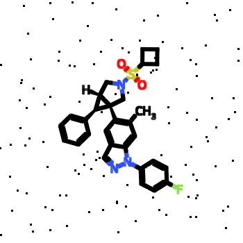 Cc1cc2c(cnn2-c2ccc(F)cc2)cc1[C@]12CN(S(=O)(=O)C3CCC3)C[C@H]1[C@@H]2c1ccccc1